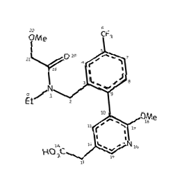 CCN(Cc1cc(C(F)(F)F)ccc1-c1cc(CC(=O)O)cnc1OC)C(=O)COC